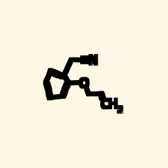 C=CCOc1ccccc1CC#N